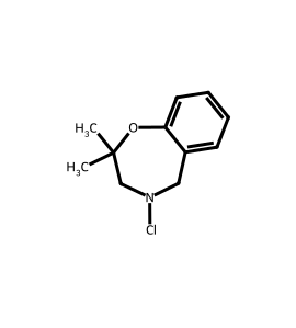 CC1(C)CN(Cl)Cc2ccccc2O1